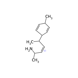 CC1C=CC(C(C)/C=C\C(C)N)C=C1